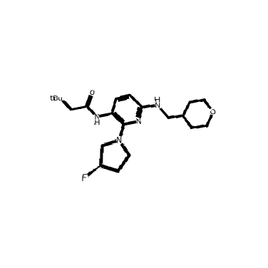 CC(C)(C)CC(=O)Nc1ccc(NCC2CCOCC2)nc1N1CC[C@@H](F)C1